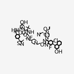 C=CC(=O)N1CCN(c2nc(OCCN3CCC(F)(CN(C)CC(=O)N[C@H](C(=O)N4C[C@H](O)C[C@H]4C(=O)N[C@@H](C)c4ccc(-c5scnc5C)cc4)C(C)(C)C)CC3)nc3c(F)c(-c4cc(O)cc5ccccc45)c(Cl)cc23)C[C@@H]1CC#N